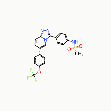 CS(=O)(=O)Nc1ccc(-c2nnc3ccc(-c4ccc(OC(F)(F)F)cc4)cn23)cc1